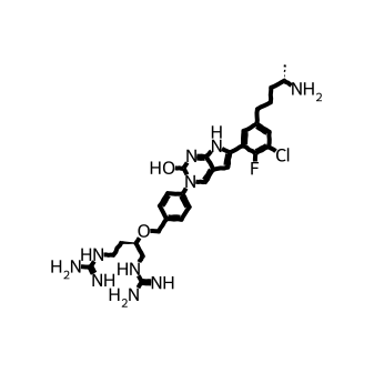 C[C@H](N)CCCc1cc(Cl)c(F)c(-c2cc3c([nH]2)=NC(O)N(c2ccc(CO[C@H](CCNC(=N)N)CNC(=N)N)cc2)C=3)c1